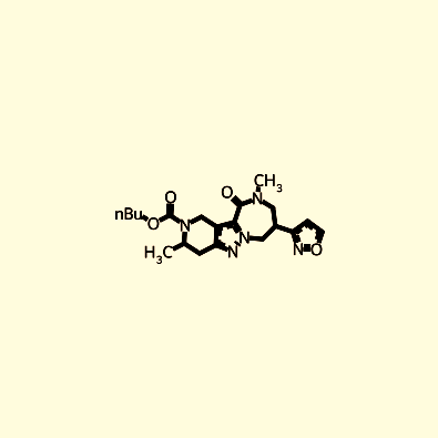 CCCCOC(=O)N1Cc2c(nn3c2C(=O)N(C)CC(c2ccon2)C3)CC1C